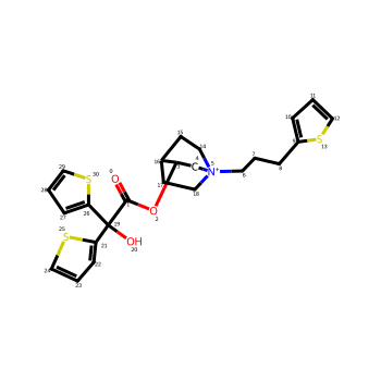 O=C(OC1C[N+]2(CCCc3cccs3)CCC1CC2)C(O)(c1cccs1)c1cccs1